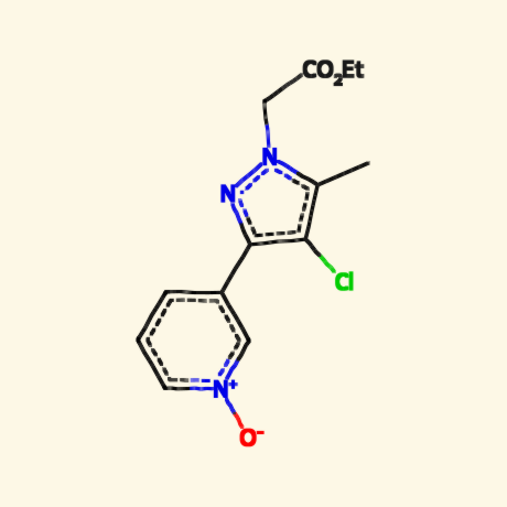 CCOC(=O)Cn1nc(-c2ccc[n+]([O-])c2)c(Cl)c1C